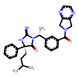 CC(C)CC[C@]1(c2ccccc2)NC(=N)N([C@H](C)c2cccc(C(=O)N3Cc4nccnc4C3)c2)C1=O